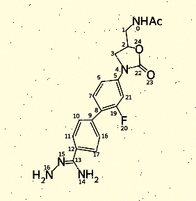 CC(=O)NCC1CN(c2ccc(-c3ccc(/C(N)=N/N)cc3)c(F)c2)C(=O)O1